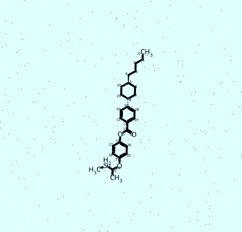 CCCCC[C@H]1CC[C@H](c2ccc(C(=O)Oc3ccc(OC(C)[SiH2]C)cc3)cc2)CC1